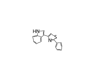 c1ccc(-c2nc(-c3c[nH]c4ccccc34)cs2)cc1